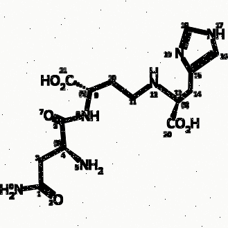 NC(=O)C[C@H](N)C(=O)N[C@@H](CCN[C@@H](Cc1c[nH]cn1)C(=O)O)C(=O)O